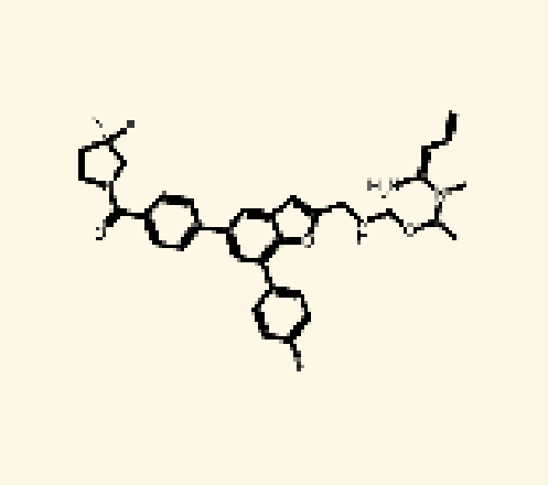 C=C/C=C(/N)N(C)C(C)OCNCc1cc2cc(-c3ccc(C(=O)N4CC[C@@](C)(F)C4)cc3)cc(-c3ccc(F)cc3)c2o1